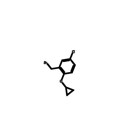 Clc1ccc(OC2CC2)c(CBr)c1